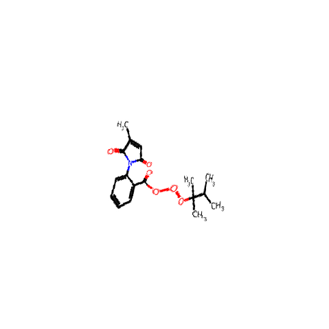 CC1=CC(=O)N(c2ccccc2C(=O)OOOC(C)(C)C(C)C)C1=O